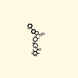 CCO[C@@H]1Cc2cc(-c3ccccn3)ccc2C1N1CCN(C2(C)CCN(C(=O)c3c(C)ncnc3C)CC2)C[C@@H]1C